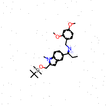 CC/C(=N/Cc1ccc(OC)cc1OC)c1ccc2c(c1)cc(CO[Si](C)(C)C(C)(C)C)n2C